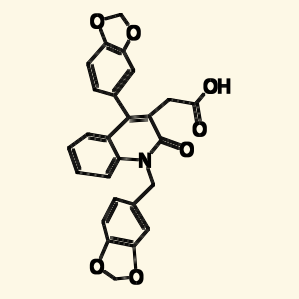 O=C(O)Cc1c(-c2ccc3c(c2)OCO3)c2ccccc2n(Cc2ccc3c(c2)OCO3)c1=O